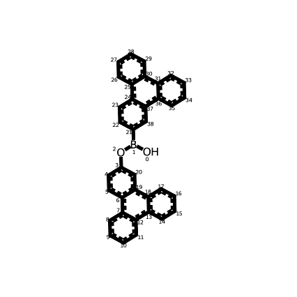 OB(Oc1ccc2c3ccccc3c3ccccc3c2c1)c1ccc2c3ccccc3c3ccccc3c2c1